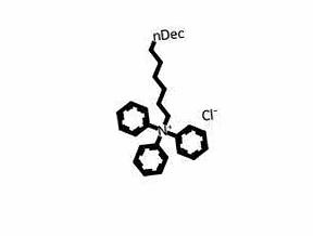 CCCCCCCCCCCCCCCC[N+](c1ccccc1)(c1ccccc1)c1ccccc1.[Cl-]